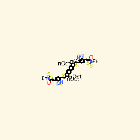 CCCCCCCCC1(CCCCCCCC)c2cc3cc4c(cc3cc2-c2sc(-c3ccc(/C=C5\SC(=S)N(CC)C5=O)c5nsnc35)cc21)C(CCCCCCCC)(CCCCCCCC)c1cc(-c2ccc(/C=C3\SC(=S)N(CC)C3=O)c3nsnc23)sc1-4